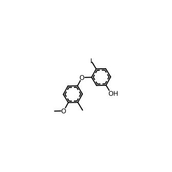 COc1ccc(Oc2cc(O)ccc2I)cc1C